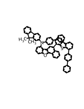 CC1(C)c2ccccc2-c2ccc(N(c3ccc(-c4ccccc4)cc3)c3cccc4oc5c6ccccc6c(-c6cccc7c6sc6c(-c8ccc(-c9ccccc9)cc8)cccc67)cc5c34)cc21